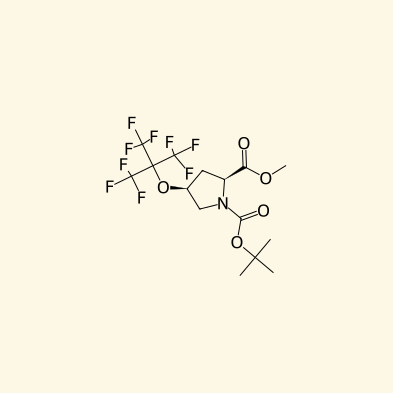 COC(=O)[C@@H]1C[C@H](OC(C(F)(F)F)(C(F)(F)F)C(F)(F)F)CN1C(=O)OC(C)(C)C